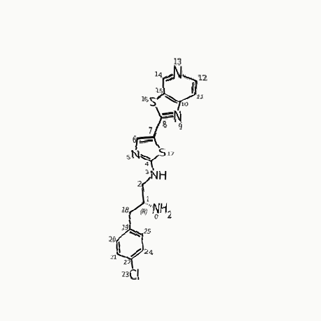 N[C@@H](CNc1ncc(-c2nc3ccncc3s2)s1)Cc1ccc(Cl)cc1